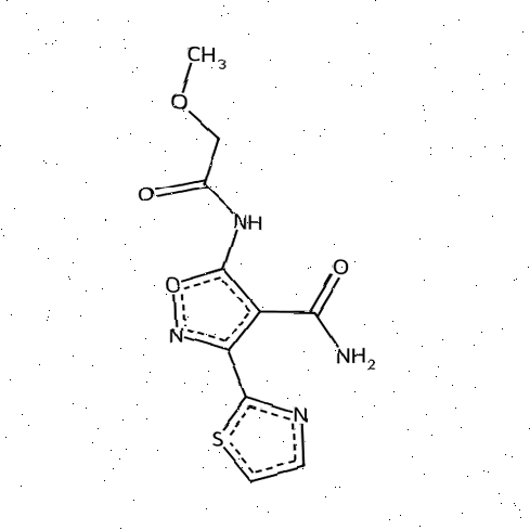 COCC(=O)Nc1onc(-c2nccs2)c1C(N)=O